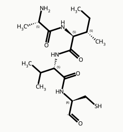 CC[C@H](C)[C@H](NC(=O)[C@H](C)N)C(=O)N[C@H](C(=O)N[C@H]([C]=O)CS)C(C)C